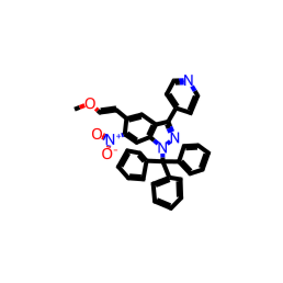 CO/C=C/c1cc2c(-c3ccncc3)nn(C(c3ccccc3)(c3ccccc3)c3ccccc3)c2cc1[N+](=O)[O-]